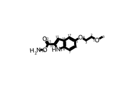 COCCOc1ccc2[nH]c(C(=O)ON)cc2c1